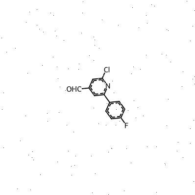 O=Cc1cc(Cl)nc(-c2ccc(F)cc2)c1